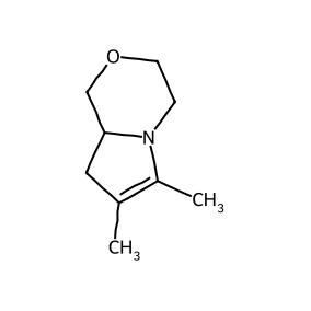 CC1=C(C)N2CCOCC2C1